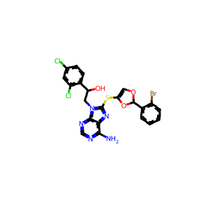 Nc1ncnc2c1nc(SC1=COC(c3ccccc3Br)O1)n2CC(O)c1ccc(Cl)cc1Cl